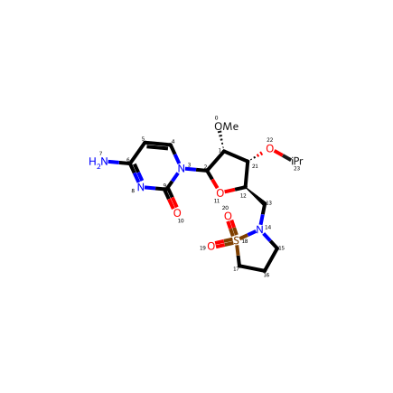 CO[C@H]1C(n2ccc(N)nc2=O)O[C@H](CN2CCCS2(=O)=O)[C@H]1OC(C)C